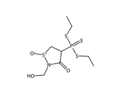 CCSP(=S)(SCC)C1C[S+]([O-])N(CO)C1=O